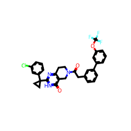 O=C(Cc1cccc(-c2cccc(OC(F)(F)F)c2)c1)N1CCc2nc(C3(c4cccc(Cl)c4)CC3)[nH]c(=O)c2C1